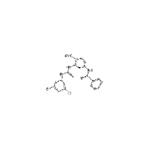 COc1ccc(NC(=O)c2ccccc2)cc1NC(=S)Nc1cc(Cl)cc(Cl)c1